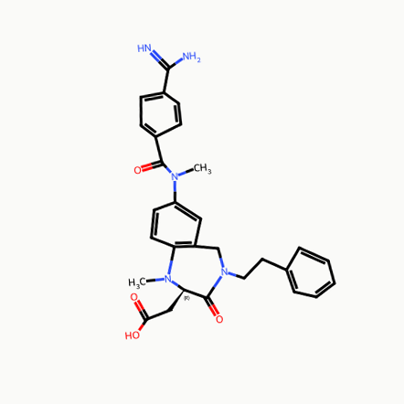 CN(C(=O)c1ccc(C(=N)N)cc1)c1ccc2c(c1)CN(CCc1ccccc1)C(=O)[C@@H](CC(=O)O)N2C